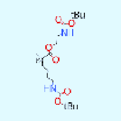 C[C@@H](CCCCNC(=O)OC(C)(C)C)C(=O)OCCNC(=O)OC(C)(C)C